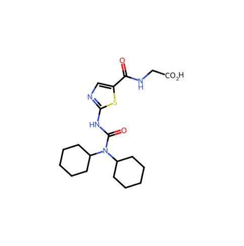 O=C(O)CNC(=O)c1cnc(NC(=O)N(C2CCCCC2)C2CCCCC2)s1